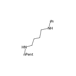 [CH2]CCCCNCCCCNC(C)C